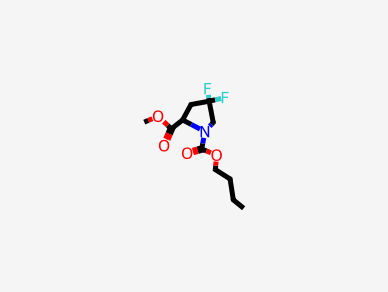 CCCCOC(=O)N1CC(F)(F)CC1C(=O)OC